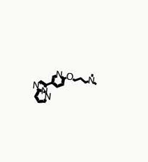 CN(C)CCCOc1ccc(-c2cnc3cccnn23)cn1